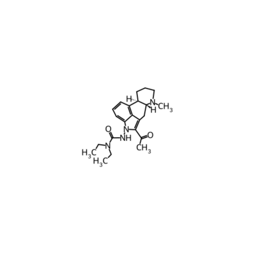 CCN(CC)C(=O)Nn1c(C(C)=O)c2c3c(cccc31)[C@H]1CCCN(C)[C@@H]1C2